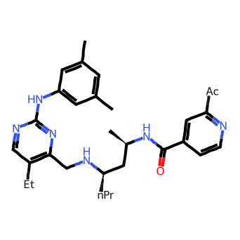 CCC[C@H](C[C@@H](C)NC(=O)c1ccnc(C(C)=O)c1)NCc1nc(Nc2cc(C)cc(C)c2)ncc1CC